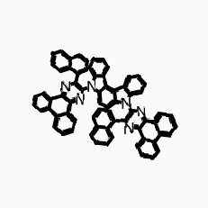 c1ccc2c(-c3nc4c5ccccc5c5ccccc5c4nc3-n3c4ccccc4c4c5c6ccccc6n(-c6nc7c8ccccc8c8ccccc8c7nc6-c6cccc7ccccc67)c5ccc43)cccc2c1